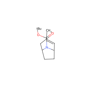 CC1=CC2CCC(C1)N2C(=O)OC(C)(C)C